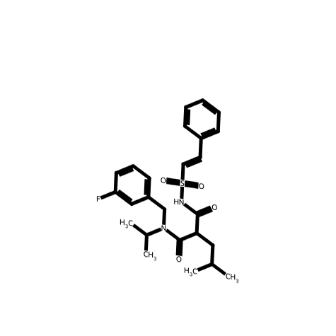 CC(C)CC(C(=O)NS(=O)(=O)C=Cc1ccccc1)C(=O)N(Cc1cccc(F)c1)C(C)C